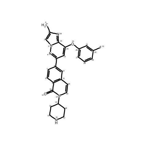 Cc1cn2nc(-c3ccc4c(=O)n(C5CCNCC5)ccc4c3)cc(Oc3cccc(F)c3)c2n1